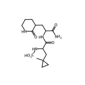 CC1(CC(NC(=O)O)C(=O)NC(CC2CCCNC2=O)C(N)=O)CC1